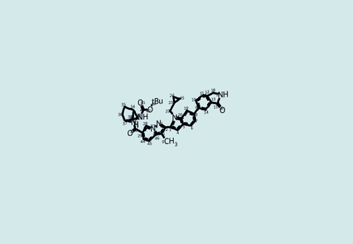 Cc1c(-c2cc3ccc(-c4ccc5c(c4)C(=O)NC5)cc3n2CC2CC2)nn2cc(C(=O)N3CC4CCC3[C@@H]4NC(=O)OC(C)(C)C)ccc12